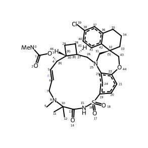 CNC(=O)O[C@H]1/C=C/CN(C)C(C)(C)C(=O)NS(=O)(=O)c2ccc3c(c2)N(C[C@@H]2CC[C@H]21)C[C@@]1(CCCc2cc(Cl)ccc21)CO3